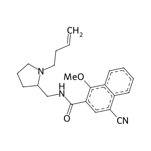 C=CCCN1CCCC1CNC(=O)c1cc(C#N)c2ccccc2c1OC